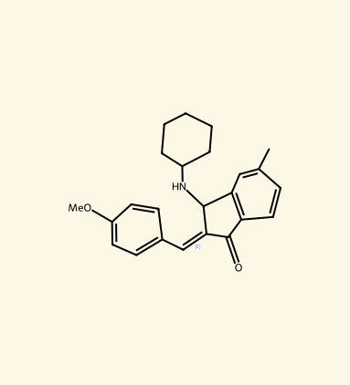 COc1ccc(/C=C2/C(=O)c3ccc(C)cc3C2NC2CCCCC2)cc1